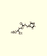 CCCCC(CC)COC(=O)CCn1ccnc1